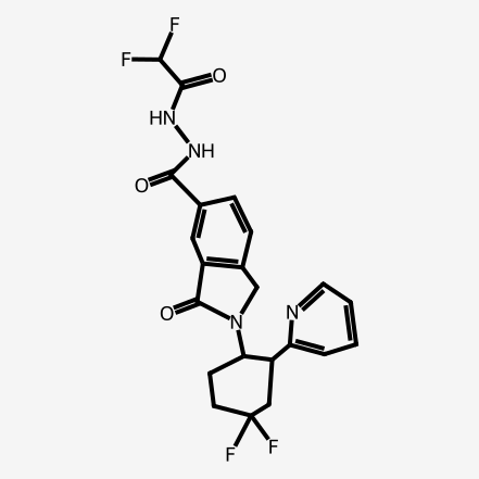 O=C(NNC(=O)C(F)F)c1ccc2c(c1)C(=O)N(C1CCC(F)(F)CC1c1ccccn1)C2